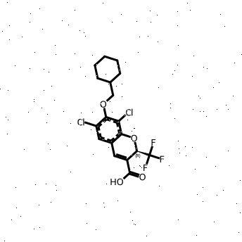 O=C(O)C1=Cc2cc(Cl)c(OCC3CCCCC3)c(Cl)c2O[C@H]1C(F)(F)F